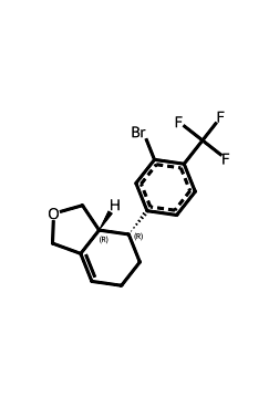 FC(F)(F)c1ccc([C@@H]2CCC=C3COC[C@@H]32)cc1Br